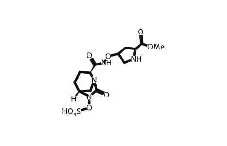 COC(=O)C1CC(ONC(=O)[C@@H]2CC[C@@H]3CN2C(=O)N3OS(=O)(=O)O)CN1